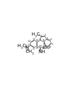 CC1=Cc2ccccc2C1c1ccc(N(C)C)cc1C(=N)C(C)(C)C